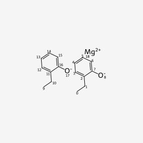 CCc1ccccc1[O-].CCc1ccccc1[O-].[Mg+2]